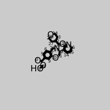 O=C(OO)c1ccc2c(c1)OC[C@H](c1cccnc1)N(C(=O)C1CCOCC1)C2